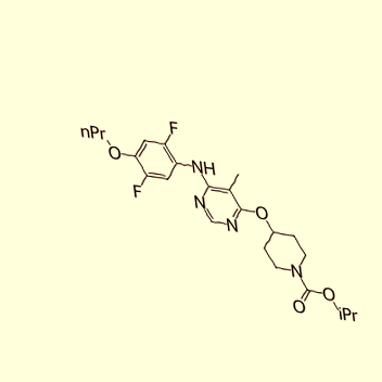 CCCOc1cc(F)c(Nc2ncnc(OC3CCN(C(=O)OC(C)C)CC3)c2C)cc1F